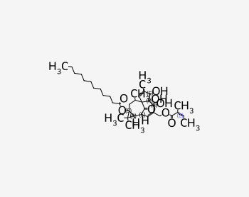 C/C=C(/C)C(=O)OCC1=C[C@@H]2C(=O)C3(C=C(C)[C@H](O)[C@@]3(O)[C@@H]1O)C(C)C[C@]1(OC(=O)CCCCCCCCCCC)[C@H]2C1(C)C